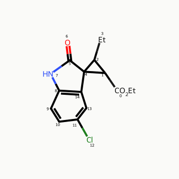 CCOC(=O)C1C(CC)C12C(=O)Nc1ccc(Cl)cc12